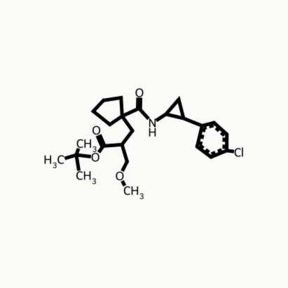 COCC(CC1(C(=O)NC2CC2c2ccc(Cl)cc2)CCCC1)C(=O)OC(C)(C)C